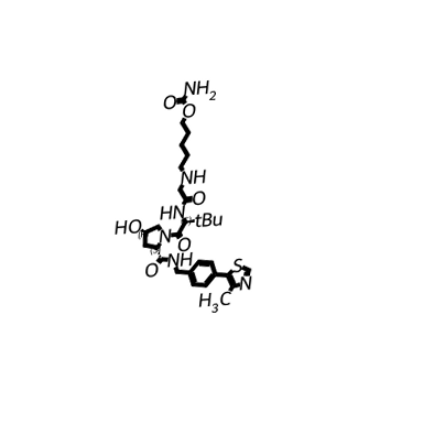 Cc1ncsc1-c1ccc(CNC(=O)[C@@H]2C[C@@H](O)CN2C(=O)[C@@H](NC(=O)CNCCCCCOC(N)=O)C(C)(C)C)cc1